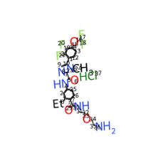 CCc1cc(NC(=O)c2ncc(-c3ccc(OC(F)F)c(F)c3F)n2C)ccc1C(=O)NCCOCCN.Cl